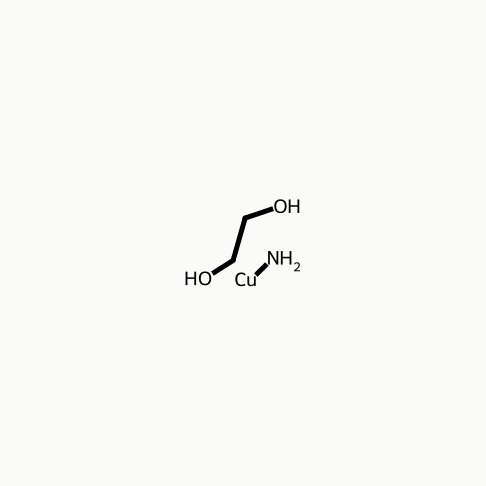 OCCO.[NH2][Cu]